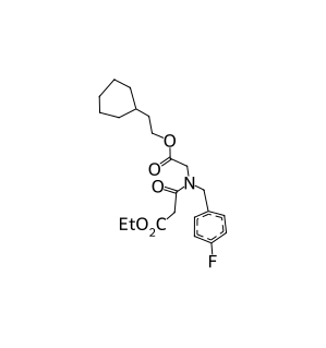 CCOC(=O)CC(=O)N(CC(=O)OCCC1CCCCC1)Cc1ccc(F)cc1